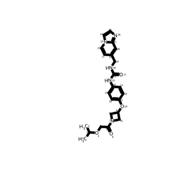 CC(C)OCC(=O)N1CC(Oc2ccc(NC(=O)NCc3ccn4ccnc4c3)cc2)C1